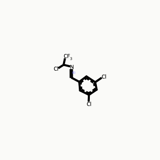 FC(F)(F)C(Cl)/N=C/c1cc(Cl)cc(Cl)c1